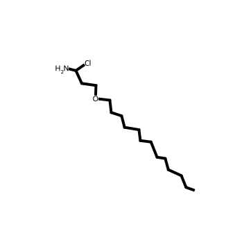 CCCCCCCCCCCCCOCCC(N)Cl